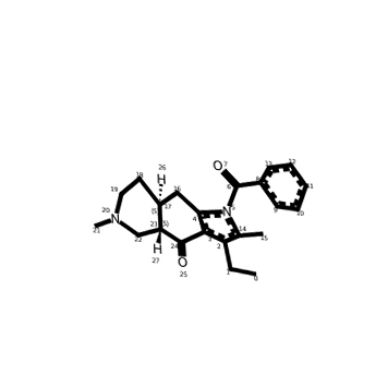 CCc1c2c(n(C(=O)c3ccccc3)c1C)C[C@@H]1CCN(C)C[C@H]1C2=O